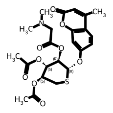 CC(=O)O[C@@H]1[C@@H](OC(=O)CN(C)C)[C@H](Oc2ccc3c(C)cc(=O)oc3c2)SC[C@H]1OC(C)=O